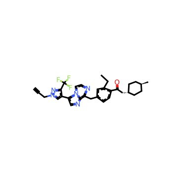 C#CCn1cc(-c2cnc3c(Cc4ccc(C(=O)C[C@H]5CC[C@H](C)CC5)c(CC)c4)nccn23)c(C(F)(F)F)n1